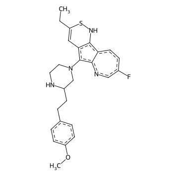 CCC1=Cc2c(c3ccc(F)cnc-3c2N2CCNC(CCc3ccc(OC)cc3)C2)NS1